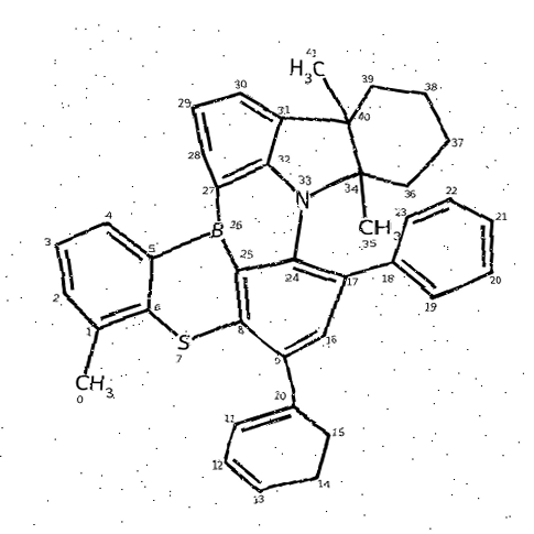 Cc1cccc2c1Sc1c(C3=CC=CCC3)cc(-c3ccccc3)c3c1B2c1cccc2c1N3C1(C)CCCCC21C